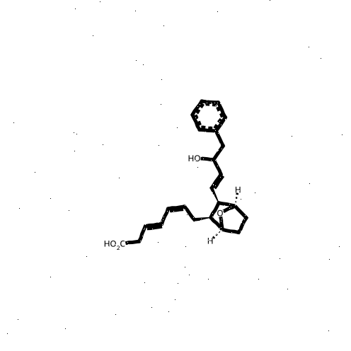 O=C(O)CC=C/C=C\C[C@H]1[C@@H](/C=C/C(O)Cc2ccccc2)[C@H]2CC[C@@H]1O2